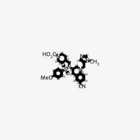 COc1ccc(S(=O)(=O)N(CC2CCN(C(=O)O)CC2)C2Cc3cc(C#N)ccc3N(Cc3cncn3C)C2)cc1